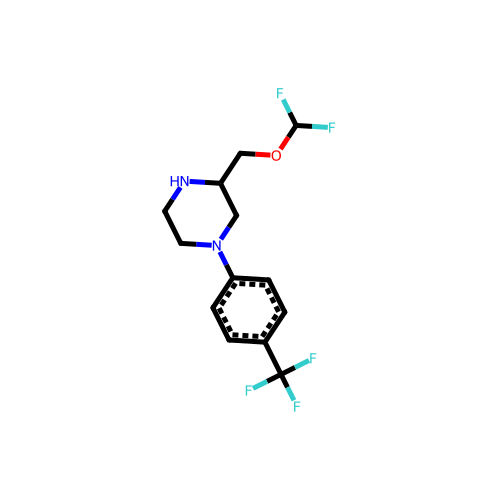 FC(F)OCC1CN(c2ccc(C(F)(F)F)cc2)CCN1